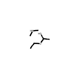 CCOC(C)O.CNC